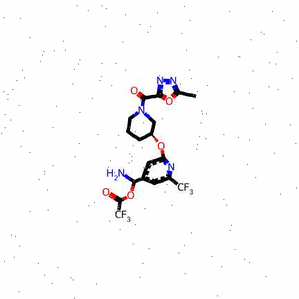 Cc1nnc(C(=O)N2CCC[C@H](Oc3cc(C(N)OC(=O)C(F)(F)F)cc(C(F)(F)F)n3)C2)o1